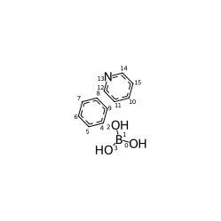 OB(O)O.c1ccccc1.c1ccncc1